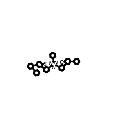 c1ccc(-c2ccc3oc4c(-c5nc(-c6ccccc6)nc(-c6cccc7c6sc6ccc(-c8ccccc8-c8ccccc8)cc67)n5)cccc4c3c2)cc1